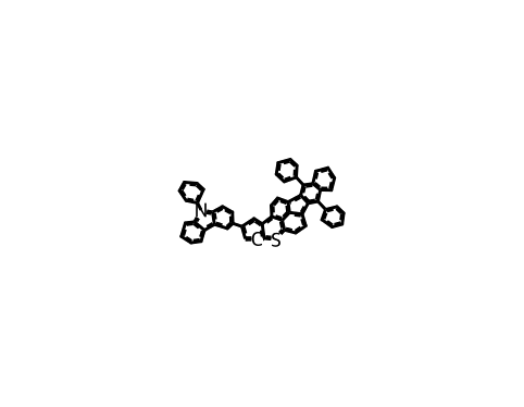 c1ccc(-c2c3ccccc3c(-c3ccccc3)c3c4ccc5c6cc(-c7ccc8c(c7)c7ccccc7n8-c7ccccc7)ccc6sc6ccc(c23)c4c65)cc1